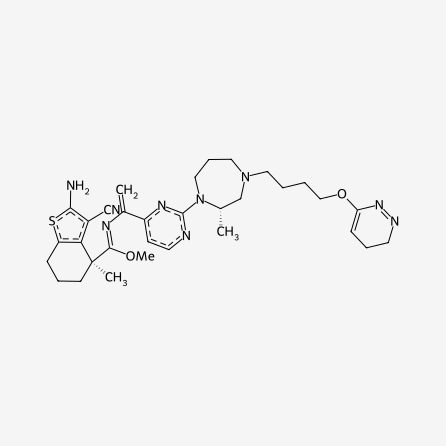 C=C(/N=C(\OC)[C@@]1(C)CCCc2sc(N)c(C#N)c21)c1ccnc(N2CCCN(CCCCOC3=CCCN=N3)C[C@@H]2C)n1